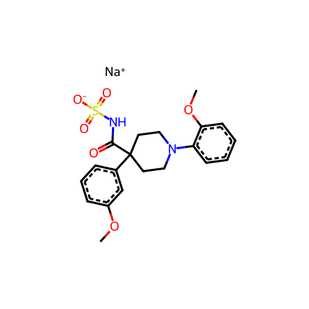 COc1cccc(C2(C(=O)NS(=O)(=O)[O-])CCN(c3ccccc3OC)CC2)c1.[Na+]